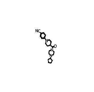 N#Cc1ccc(N2CCC(C(=O)N3CCN(C4CCCC4)CC3)CC2)cc1